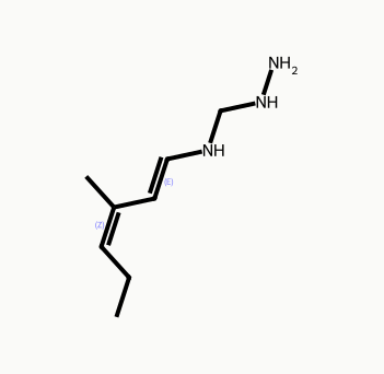 CC/C=C(C)\C=C\NCNN